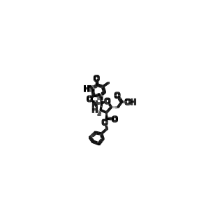 Cc1cn([C@@]2(N)C[C@H](C(=O)OCc3ccccc3)[C@@H](CC(=O)O)O2)c(=O)[nH]c1=O